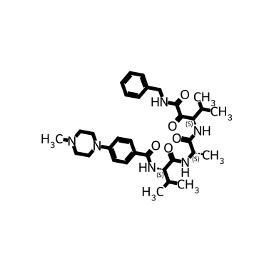 CC(C)[C@H](NC(=O)c1ccc(N2CCN(C)CC2)cc1)C(=O)N[C@@H](C)C(=O)N[C@H](C(=O)C(=O)NCc1ccccc1)C(C)C